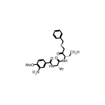 COc1ccc(C(=O)N[C@H](C(=O)N[C@@H](CC(=O)O)C(=O)CSCc2ccccc2)C(C)C)cc1[N+](=O)[O-]